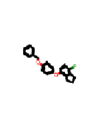 Fc1ccc(Oc2ccc(OCc3ccccc3)cc2)c2c1CCC2